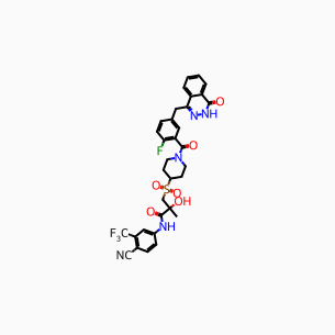 CC(O)(CS(=O)(=O)C1CCN(C(=O)c2cc(Cc3n[nH]c(=O)c4ccccc34)ccc2F)CC1)C(=O)Nc1ccc(C#N)c(C(F)(F)F)c1